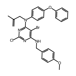 C=C(C)CN(c1ccc(Oc2ccccc2)cc1)c1nc(Cl)nc(NCc2ccc(OC)cc2)c1Br